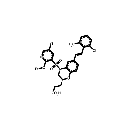 CCOc1ncc(Cl)cc1S(=O)(=O)N1C[C@H](CCC(=O)O)Oc2ccc(/C=C/c3c(Cl)cccc3C(F)(F)F)cc21